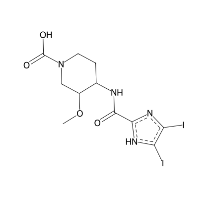 COC1CN(C(=O)O)CCC1NC(=O)c1nc(I)c(I)[nH]1